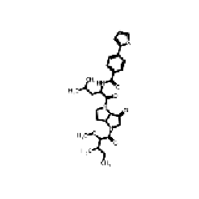 CCC(C)C(OC)C(=O)N1CC(=O)C2C1CCN2C(=O)C(CC(C)C)NC(=O)c1ccc(-c2cccs2)cc1